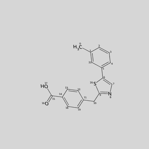 Cc1cccc(-c2cnc(Cc3ccc(C(=O)O)cc3)s2)c1